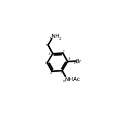 CC(=O)Nc1ccc(CN)cc1Br